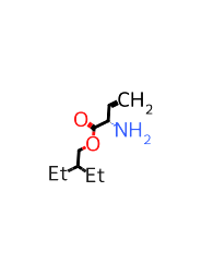 C=C[C@H](N)C(=O)OCC(CC)CC